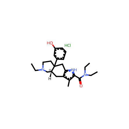 CCN1CCC2(c3cccc(O)c3)Cc3[nH]c(C(=O)N(CC)CC)c(C)c3C[C@@H]2C1.Cl